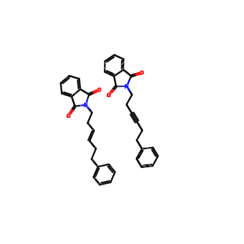 O=C1c2ccccc2C(=O)N1CCC#CCCc1ccccc1.O=C1c2ccccc2C(=O)N1CCC=CCCc1ccccc1